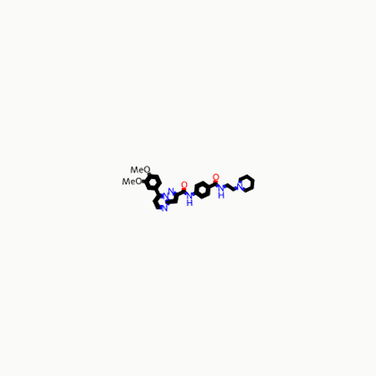 COc1ccc(-c2ccnc3cc(C(=O)Nc4ccc(C(=O)NCCN5CCCCC5)cc4)nn23)cc1OC